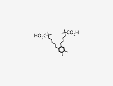 Cc1cc(CCCCCC(C)(C)C(=O)O)c(CCCCC(C)(C)C(=O)O)cc1C